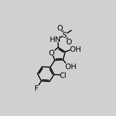 CS(=O)(=O)Nc1oc(-c2ccc(F)cc2Cl)c(O)c1O